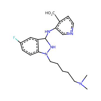 CN(C)CCCCCN1NC(Nc2cnccc2C(=O)O)c2cc(F)ccc21